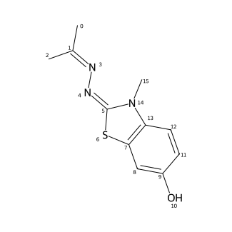 CC(C)=NN=c1sc2cc(O)ccc2n1C